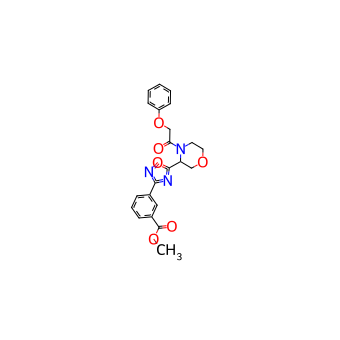 COC(=O)c1cccc(-c2noc(C3COCCN3C(=O)COc3ccccc3)n2)c1